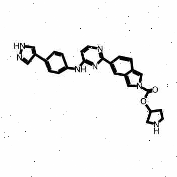 O=C(OC1CCNC1)n1cc2ccc(-c3nccc(Nc4ccc(-c5cn[nH]c5)cc4)n3)cc2c1